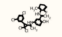 C=C(NC1=C(C)CCC=C1F)c1cc(NC(=C)C2C(c3cc(Cl)cc(Cl)c3)C2(Cl)Cl)ccc1O